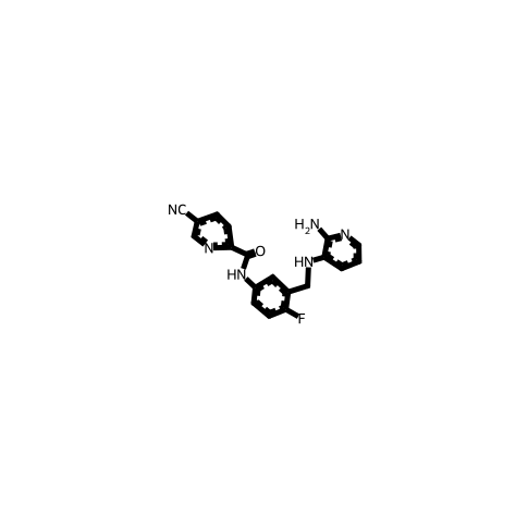 N#Cc1ccc(C(=O)Nc2ccc(F)c(CNc3cccnc3N)c2)nc1